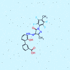 CC1=NN(c2c(F)c(F)c(C)c(F)c2F)C(=O)C1=NNc1cccc(-c2cccc(C(=O)O)c2)c1O